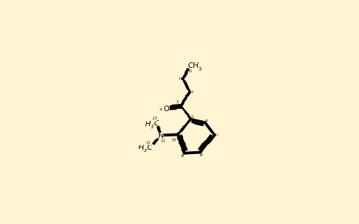 CCCC(=O)c1ccccc1N(C)C